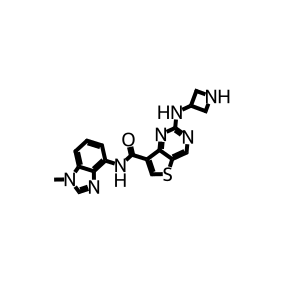 Cn1cnc2c(NC(=O)c3csc4cnc(NC5CNC5)nc34)cccc21